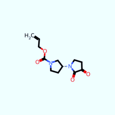 C=CCOC(=O)N1CC[C@@H](N2CCC(=O)C2=O)C1